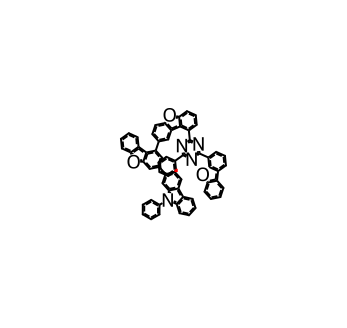 c1ccc(-c2nc(-c3cccc4c3oc3ccccc34)nc(-c3cccc4oc5ccc(-c6cc(-c7ccc8c9ccccc9n(-c9ccccc9)c8c7)cc7oc8ccccc8c67)cc5c34)n2)cc1